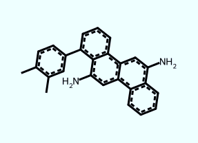 Cc1ccc(-c2cccc3c2c(N)cc2c4ccccc4c(N)cc32)cc1C